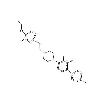 CCOc1ccc(/C=C/C2CCC(c3ccc(-c4ccc(C)cc4)c(F)c3F)CC2)cc1F